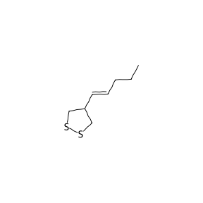 CCCC=CC1CSSC1